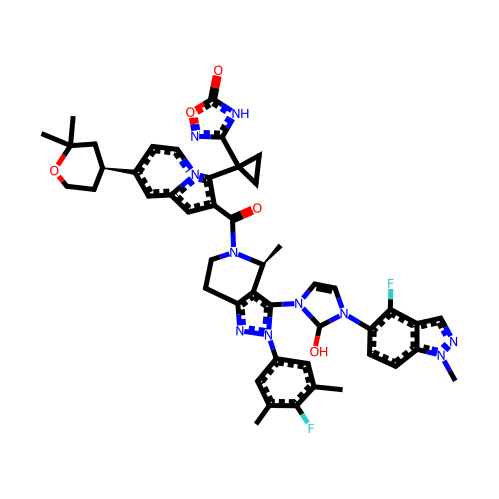 Cc1cc(-n2nc3c(c2N2C=CN(c4ccc5c(cnn5C)c4F)C2O)[C@H](C)N(C(=O)c2cc4cc([C@H]5CCOC(C)(C)C5)ccn4c2C2(c4noc(=O)[nH]4)CC2)CC3)cc(C)c1F